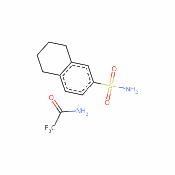 NC(=O)C(F)(F)F.NS(=O)(=O)c1ccc2c(c1)CCCC2